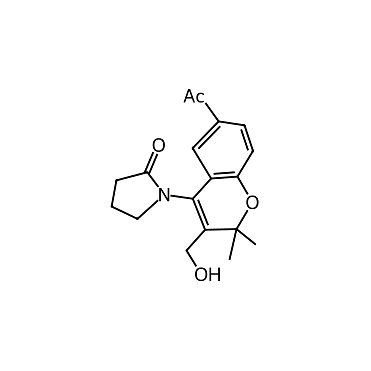 CC(=O)c1ccc2c(c1)C(N1CCCC1=O)=C(CO)C(C)(C)O2